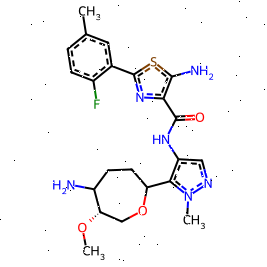 CO[C@H]1COC(c2c(NC(=O)c3nc(-c4cc(C)ccc4F)sc3N)cnn2C)CCC1N